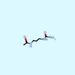 CC(=O)NCCCNC(N)=O